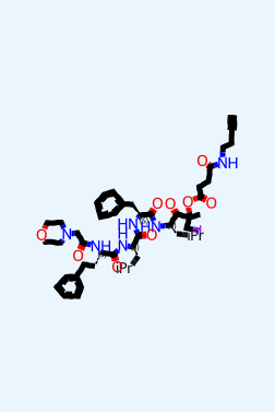 C#CCCNC(=O)CCC(=O)OC(C)(CI)C(=O)[C@H](CC(C)C)NC(=O)[C@H](Cc1ccccc1)NC(=O)[C@H](CC(C)C)NC(=O)[C@H](CCc1ccccc1)NC(=O)CN1CCOCC1